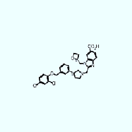 O=C(O)c1ccc2nc(CN3CC[C@@H](c4cccc(COc5ccc(Cl)cc5Cl)c4)C3)n(C[C@@H]3CCO3)c2c1